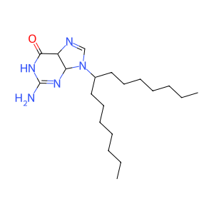 CCCCCCCC(CCCCCCC)N1C=NC2C(=O)NC(N)=NC21